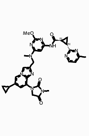 COc1nc(NC(=O)[C@H]2C[C@@H]2c2nccc(C)n2)cc(N(C)Cc2cn3cc(C4CC4)cc(N4CC(=O)N(C)C4=O)c3n2)n1